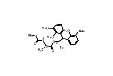 COc1cccc(C(c2cccc(OC)c2OC)[C@H](C)OC(=O)[C@H](C)NC(=O)OC(C)(C)C)c1OC